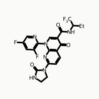 CCC(NC(=O)c1cn(-c2ncc(F)cc2F)c2nc(N3CCNC3=O)ccc2c1=O)C(F)(F)F